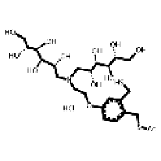 CC(=O)SCc1ccc(OCCN(C[C@@H](O)[C@@H](O)[C@H](O)[C@H](O)CO)C[C@@H](O)[C@@H](O)[C@H](O)[C@H](O)CO)cc1CS.Cl